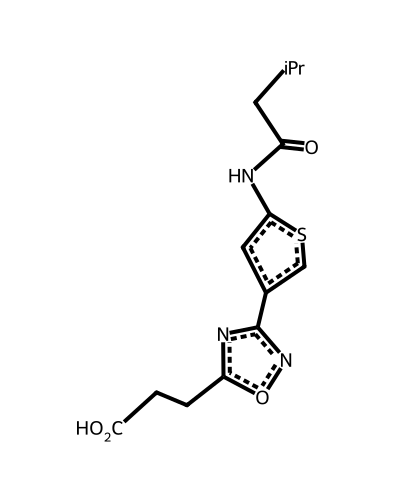 CC(C)CC(=O)Nc1cc(-c2noc(CCC(=O)O)n2)cs1